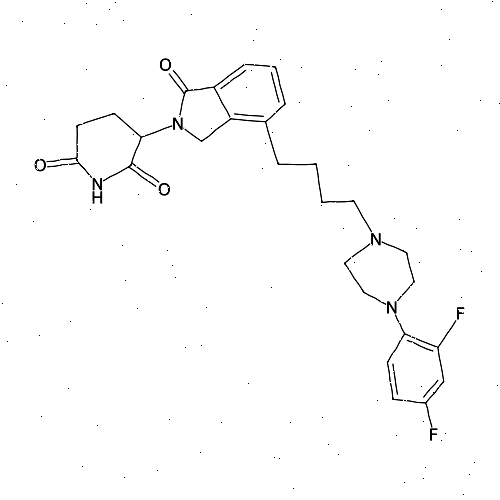 O=C1CCC(N2Cc3c(CCCCN4CCN(c5ccc(F)cc5F)CC4)cccc3C2=O)C(=O)N1